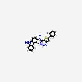 c1ccc(-c2cc3ncnc(Nc4ccc5[nH]c6ccccc6c5c4)c3s2)cc1